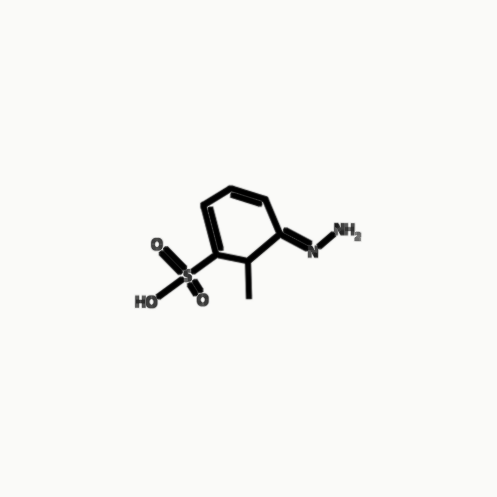 CC1C(S(=O)(=O)O)=CC=CC1=NN